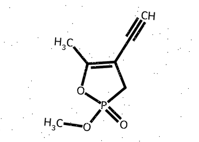 C#CC1=C(C)OP(=O)(OC)C1